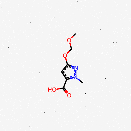 COCOc1cc(C(=O)O)n(C)n1